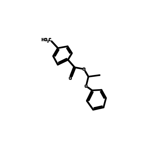 CC(OC(=O)c1ccc(C(=O)O)cc1)Oc1ccccc1